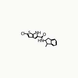 CC1c2ccccc2CC1NC(=O)c1cc2cc(Cl)sc2[nH]1